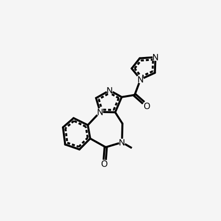 CN1Cc2c(C(=O)n3ccnc3)ncn2-c2ccccc2C1=O